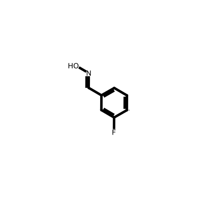 ON=Cc1cc[c]c(F)c1